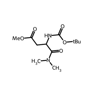 COC(=O)CC(NC(=O)OC(C)(C)C)C(=O)N(C)C